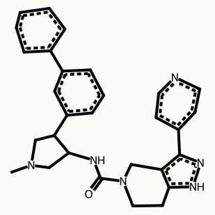 CN1CC(NC(=O)N2CCc3[nH]nc(-c4ccncc4)c3C2)C(c2cccc(-c3ccccc3)c2)C1